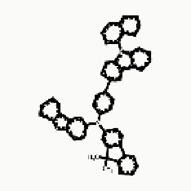 CC1(C)c2ccccc2-c2ccc(N(c3ccc(-c4ccc5c(c4)c4ccccc4n5-c4cccc5ccccc45)cc3)c3ccc4sc5ccccc5c4c3)cc21